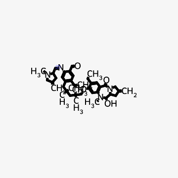 C=C1CC(/C=N\c2cc(CC(C)(C)CC(C)(C)COc3cc4c(cc3CC)C(=O)N3CC(=C)CC3C(O)N4C)c(CC)cc2C=O)N(C)C1